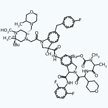 CC1COCCN1C[C@H]1CN(C(=O)O)[C@](C)(C(C)(C)C)CN1CC(=O)N1CC(C)(C(=O)Nc2ccc3c(c2)C(C(=O)Nc2c(F)cccc2F)N(C(=O)C(NC(=O)C(C)N(C)C(=O)OC(C)(C)C)C2CCOCC2)C3)c2ccc(Cc3ccc(F)cc3)cc21